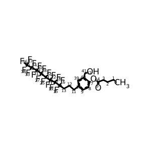 CCCCC(=O)Oc1ccc(CCCC(F)(F)C(F)(F)C(F)(F)C(F)(F)C(F)(F)C(F)(F)C(F)(F)C(F)(F)F)cc1CO